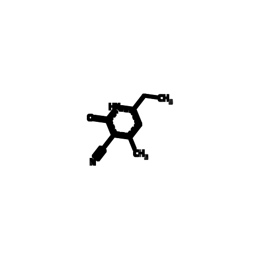 CCc1cc(C)c(C#N)c(=O)[nH]1